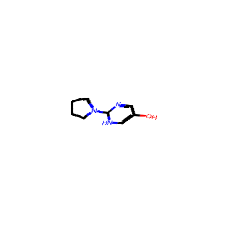 OC1=CNC(N2CCCC2)N=C1